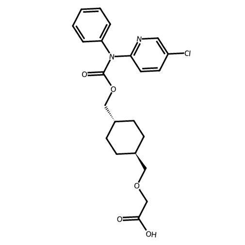 O=C(O)COC[C@H]1CC[C@H](COC(=O)N(c2ccccc2)c2ccc(Cl)cn2)CC1